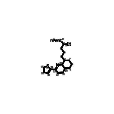 CCCCCC(CC)CCCC1CCC=C2C=CC(c3cccs3)=NC21